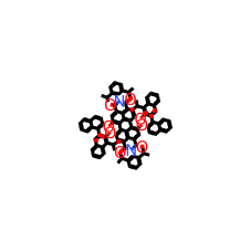 CC(C)c1cccc(C(C)C)c1N1C(=O)c2cc(Oc3ccc4ccccc4c3C(C)C)c3c4c(Oc5ccc6ccccc6c5C(C)C)cc5c6c(cc(Oc7ccc8ccccc8c7C(C)C)c(c7c(Oc8ccc9ccccc9c8C(C)C)cc(c2c37)C1=O)c64)C(=O)N(c1c(C(C)C)cccc1C(C)C)C5=O